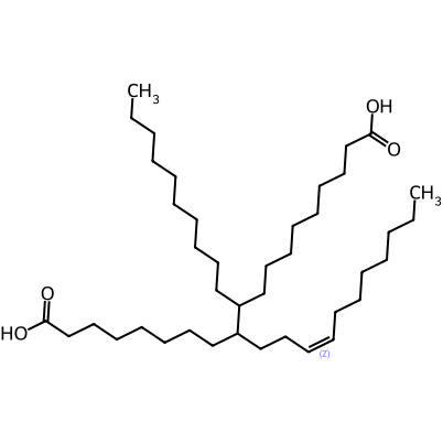 CCCCCCC/C=C\CCC(CCCCCCCC(=O)O)C(CCCCCCCCCC)CCCCCCCCC(=O)O